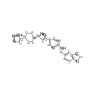 c1cc2c(cc1CNc1ncc(-c3cc(N4CCC(c5cnn[nH]5)CC4)no3)cn1)OCO2